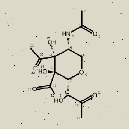 CC(=O)N[C@@H]1[CH]O[C@H](C(O)C(C)=O)[C@](O)(C(C)=O)[C@@]1(O)C(C)=O